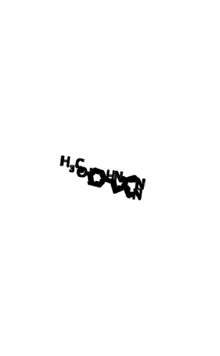 COc1[c]cc(-c2cc3cnncc3[nH]2)cc1